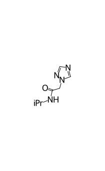 CC(C)NC(=O)Cn1cncn1